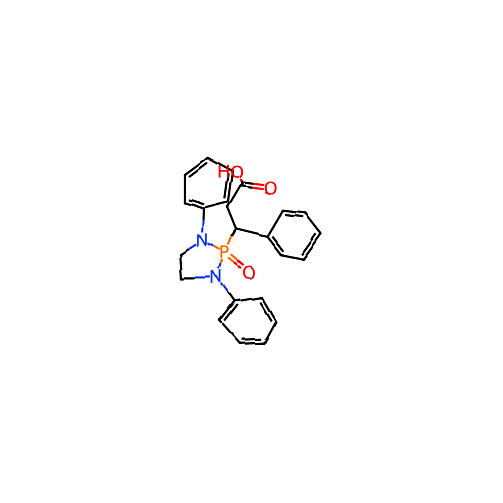 O=C(O)CC(c1ccccc1)P1(=O)N(c2ccccc2)CCN1c1ccccc1